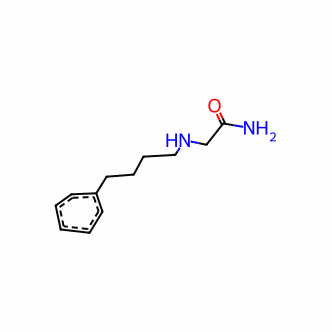 NC(=O)CNCCCCc1ccccc1